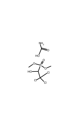 COP(=O)(OC)C(O)C(Cl)(Cl)Cl.NC(=O)O